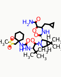 CC(C)(C)[C@H](NC(=O)NC1(CS(C)(=O)=O)CCCCC1)C(=O)N1C[C@H]2[C@@H]([C@H]1C(=O)NC(CC1CC1)C(=O)C(N)=O)C2(C)C